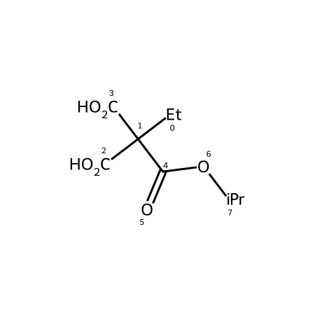 CCC(C(=O)O)(C(=O)O)C(=O)OC(C)C